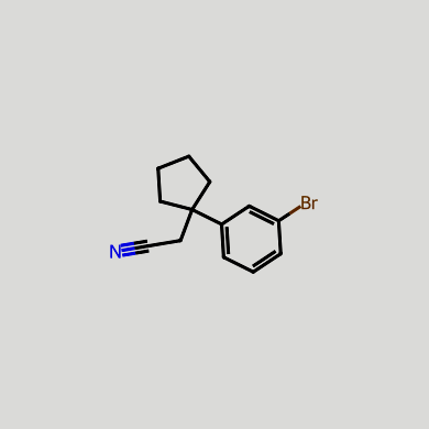 N#CCC1(c2cccc(Br)c2)CCCC1